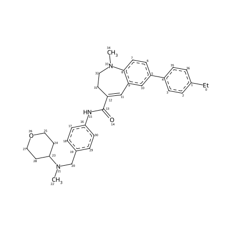 CCc1ccc(-c2ccc3c(c2)C=C(C(=O)Nc2ccc(CN(C)C4CCOCC4)cc2)CCN3C)cc1